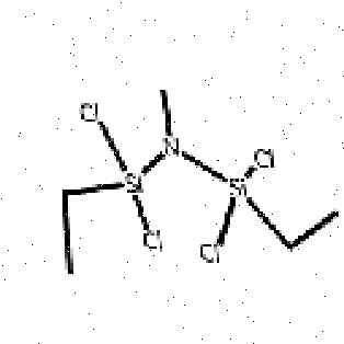 CC[Si](Cl)(Cl)N(C)[Si](Cl)(Cl)CC